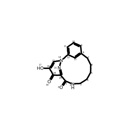 O=C1NCCCCCc2cccc(c2)-n2cc(O)c(=O)c1n2